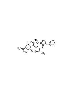 Cc1ccc([C@@H](c2ccc3c(nnn3C)c2C)C(C)(C)C(=O)O)cc1Cn1ccnc1CN1C2CCC1CC2